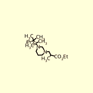 CCOC(=O)C(C)CN1CCCN([Si](C)(C)C(C)(C)C(C)C)C1